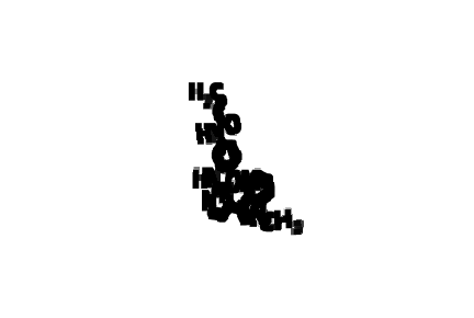 C=CCC(=O)Nc1ccc(OC)c(Nc2nccc(-c3cn(C)c4ccccc34)n2)c1